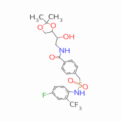 CC1(C)OCC(C(O)CNC(=O)c2ccc(CS(=O)(=O)Nc3ccc(F)cc3C(F)(F)F)cc2)O1